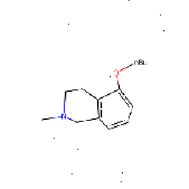 CCCCOc1cccc2c1CCN(C)C2